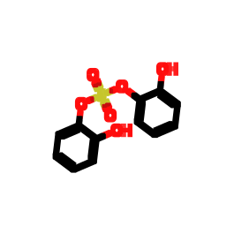 O=S(=O)(Oc1ccccc1O)Oc1ccccc1O